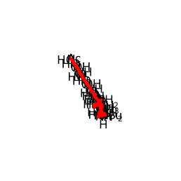 CCCC[C@H](NC(=O)[C@H](CC(C)C)NC(=O)[C@H](Cc1c[nH]cn1)NC(=O)CNC(=O)[C@@H](NC(=O)[C@H](C)NC(=O)[C@H](Cc1c[nH]c2ccccc12)NC(=O)[C@H](CCC(N)=O)NC(=O)CCNC(=O)CCNC(=O)CCNC(=O)CCC(=O)NCCCCCN(O)C(=O)CCC(=O)NCCCCCN(O)C(=O)CCC(=O)NCCCCCN(O)C(=O)CCC(=O)NCCCCCN(O)C(C)=O)C(C)C)C(N)=O